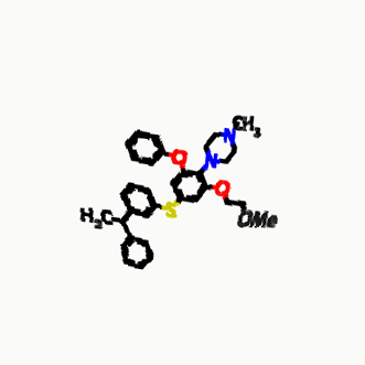 COCCOc1cc(Sc2cccc(C(C)c3ccccc3)c2)cc(Oc2ccccc2)c1N1CCN(C)CC1